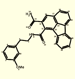 COc1cccc(CCNC(=O)c2c(C(N)=O)cc3cccc4c3c2-c2ccccc2-4)c1